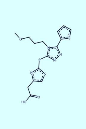 COCCCn1c(Sc2nc(CC(=O)O)cs2)nnc1-c1cccs1